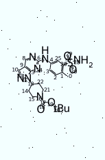 Cc1ccc(Nc2ncc3cnn(C4CCN(C(=O)OC(C)(C)C)CC4)c3n2)cc1S(N)(=O)=O